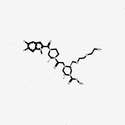 C[C@@H]1CN(C(=O)c2cc3cc(F)c(F)cc3n2C)CCN1C(=O)CN1C[C@@H](C)N(C(=O)OC(C)(C)C)C[C@@H]1COCCOCCO